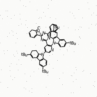 CC1CC=CC=C1c1nc(-c2ccccc2)nc(-c2cc(-n3c4c(c5cc(C(C)(C)C)ccc53)C=C(C(C)(C)C)CC4)cnc2-n2c3ccc(C(C)(C)C)cc3c3cc(C(C)(C)C)ccc32)n1